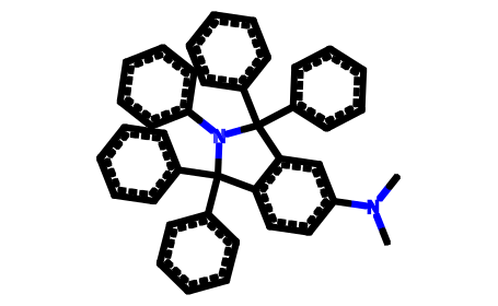 CN(C)c1ccc2c(c1)C(c1ccccc1)(c1ccccc1)N(c1ccccc1)C2(c1ccccc1)c1ccccc1